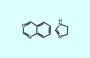 C1=NCCN1.c1ccc2ncncc2c1